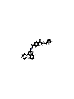 O=C(Nc1ccc(C(=O)/C=C/c2cc(N3CCOCC3)c3ccccc3n2)cc1)OCc1cccs1